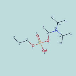 CCCOP(=O)(O)OC(C)N(C(C)C)C(C)C